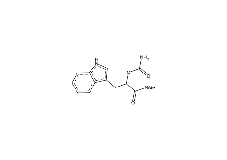 CNC(=O)C(Cc1c[nH]c2ccccc12)OC(N)=O